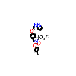 Cc1ccc(OC(=O)N(CC(=O)O)Cc2ccc(OCCN(C)c3ccccn3)cc2)cc1